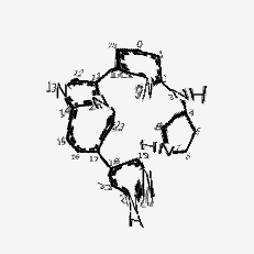 c1cc(N[C@H]2CCNC2)nc(-c2cnc3ccc(-c4cn[nH]c4)cn23)c1